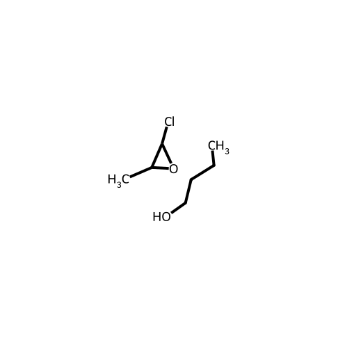 CC1OC1Cl.CCCCO